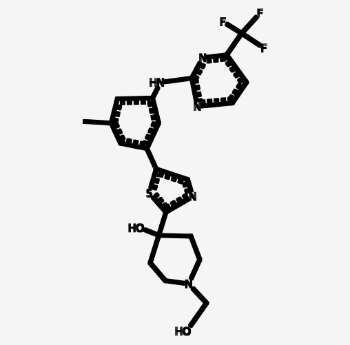 Cc1cc(Nc2nccc(C(F)(F)F)n2)cc(-c2cnc(C3(O)CCN(CO)CC3)s2)c1